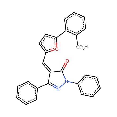 O=C(O)c1ccccc1-c1ccc(C=C2C(=O)N(c3ccccc3)N=C2c2ccccc2)o1